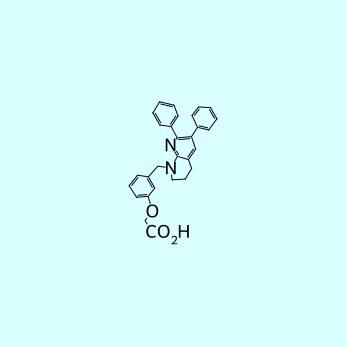 O=C(O)COc1cccc(CN2CCCc3cc(-c4ccccc4)c(-c4ccccc4)nc32)c1